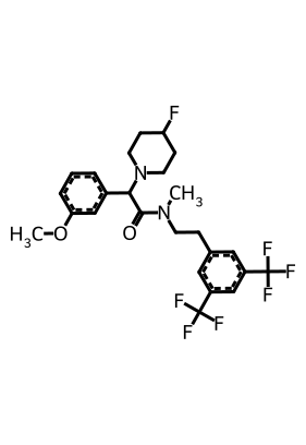 COc1cccc(C(C(=O)N(C)CCc2cc(C(F)(F)F)cc(C(F)(F)F)c2)N2CCC(F)CC2)c1